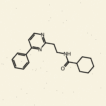 O=C(NCCc1nccc(-c2ccccc2)n1)C1CCCCC1